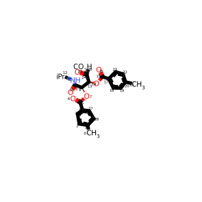 Cc1ccc(C(=O)O[C@H](C(=O)NC(C)C)[C@H](OC(=O)c2ccc(C)cc2)C(=O)C(=O)O)cc1